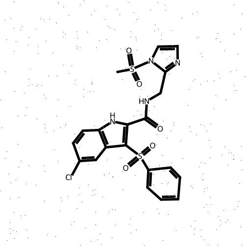 CS(=O)(=O)n1ccnc1CNC(=O)c1[nH]c2ccc(Cl)cc2c1S(=O)(=O)c1ccccc1